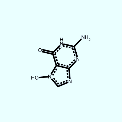 Nc1nc2ncn(O)c2c(=O)[nH]1